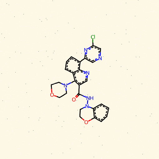 O=C(NN1CCOc2ccccc21)c1cnc2c(-c3cncc(Cl)n3)cccc2c1N1CCOCC1